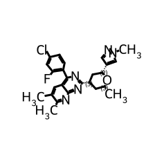 Cc1cc2c(-c3ccc(Cl)cc3F)nc([C@H]3C[C@H](C)O[C@@H](c4cnn(C)c4)C3)nc2nc1C